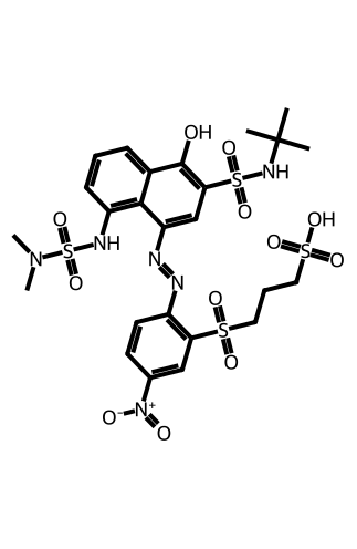 CN(C)S(=O)(=O)Nc1cccc2c(O)c(S(=O)(=O)NC(C)(C)C)cc(/N=N/c3ccc([N+](=O)[O-])cc3S(=O)(=O)CCCS(=O)(=O)O)c12